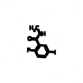 CNC(=O)c1cc(I)ccc1F